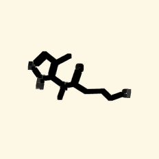 Cc1cn[nH]c1N(C)C(=O)CCCCl